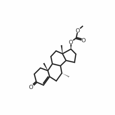 COC(=O)O[C@H]1CCC2C3C(CC[C@@]21C)[C@@]1(C)CCC(=O)C=C1C[C@H]3C